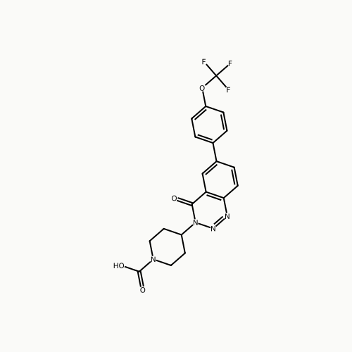 O=C(O)N1CCC(n2nnc3ccc(-c4ccc(OC(F)(F)F)cc4)cc3c2=O)CC1